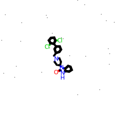 O=c1[nH]c2ccccc2n1C1CCN(Cc2cccc(-c3c(Cl)cccc3Cl)c2)CC1